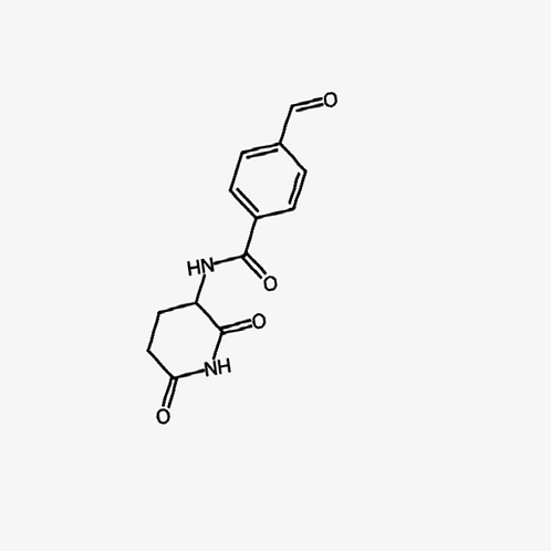 O=Cc1ccc(C(=O)NC2CCC(=O)NC2=O)cc1